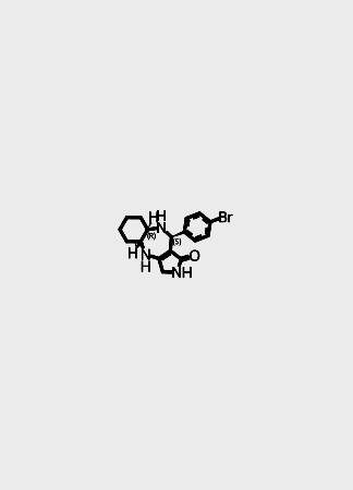 O=C1NCC2=C1[C@H](c1ccc(Br)cc1)N[C@@H]1CCCC[C@H]1N2